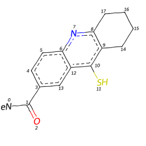 CNC(=O)c1ccc2nc3c(c(S)c2c1)CCCC3